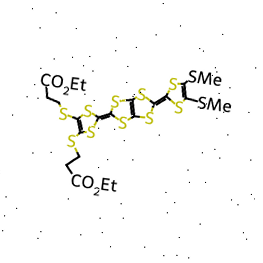 CCOC(=O)CCSC1=C(SCCC(=O)OCC)SC(=C2SC3=C(SC(=C4SC(SC)=C(SC)S4)S3)S2)S1